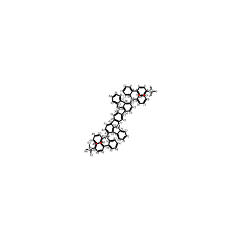 C[Si](C)(C)c1ccc(-c2ccccc2N(c2ccccc2)c2ccc3c4cc5c(cc4n4c6ccccc6c2c34)c2ccc(N(c3ccccc3)c3ccccc3-c3ccc([Si](C)(C)C)cc3)c3c4ccccc4n5c23)cc1